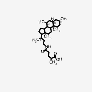 CC(CCC(=O)NCC[C@@H](C)C1CCC2C3C(CC[C@@]21C)[C@@]1(C)CC[C@@H](O)C[C@H]1C[C@@H]3O)C(=O)O